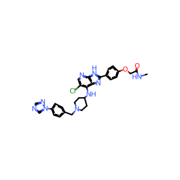 CNC(=O)COc1ccc(-c2nc3c(NC4CCN(Cc5ccc(-n6cncn6)cc5)CC4)c(Cl)cnc3[nH]2)cc1